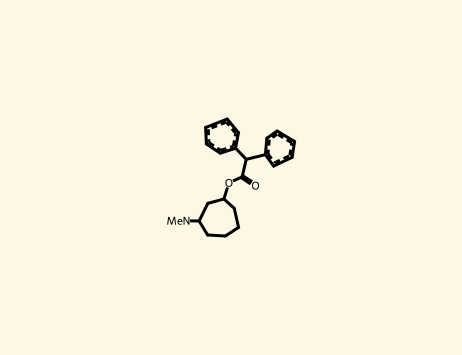 CNC1CCCCC(OC(=O)C(c2ccccc2)c2ccccc2)C1